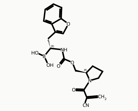 C=C(C#N)C(=O)N1CCC[C@@H]1COC(=O)N[C@@H](Cc1coc2ccccc12)B(O)O